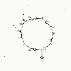 O=C1OCCCCCCC=CCCCCCCO1